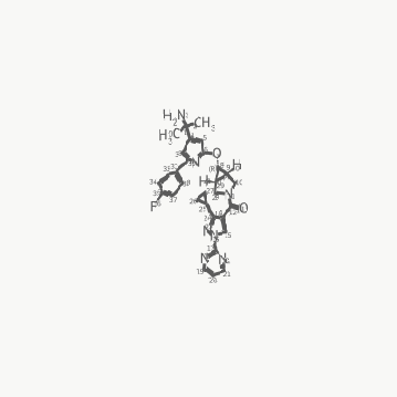 CC(C)(N)c1cc(O[C@@H]2[C@@H]3CN(C(=O)c4cn(-c5ncccn5)nc4C4CC4)C[C@@H]32)nc(-c2ccc(F)cc2)c1